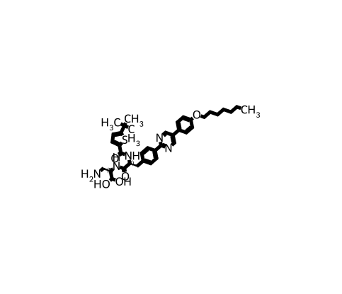 CCCCCCCOc1ccc(-c2cnc(-c3ccc(C[C@H](NC(=O)c4ccc(C(C)(C)C)s4)C(=O)N[C@H](CN)C(O)O)cc3)nc2)cc1